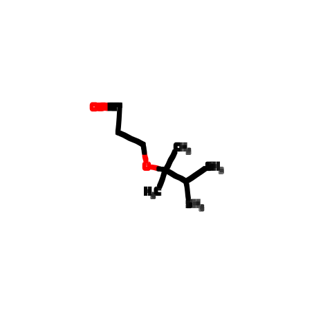 CC(C)(OCCC=O)C([SiH3])[SiH3]